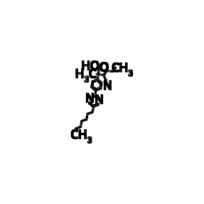 CCCCCCCc1cnc(-c2ccc(C(C)(C(=O)O)C(C#N)CCC)cc2)nc1